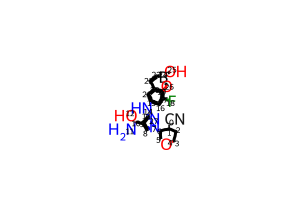 N#C[C@H]1CCOCC1n1cc(C(N)O)c(Nc2cc(F)c3c(c2)C=CB(O)O3)n1